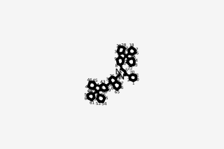 c1ccc(-c2cc(-c3ccc4c(c3)C(c3ccccc3)(c3ccccc3)c3ccccc3-4)nc(-c3ccc(-c4ccc5c(c4)-c4ccccc4C5(c4ccccc4)c4ccccc4)c4ccccc34)n2)cc1